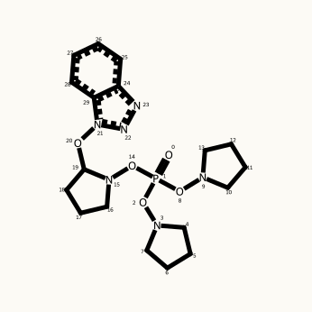 O=P(ON1CCCC1)(ON1CCCC1)ON1CCCC1On1nnc2ccccc21